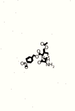 CC(=O)OC=C1CS[C@@H]2C(N)C(=O)N2C1C(=O)OCc1ccc([N+](=O)[O-])cc1